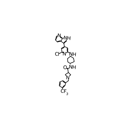 O=C(N[C@H]1CC[C@H](Nc2cc(-c3c[nH]c4ncccc34)cc(Cl)n2)CC1)C1CN(Cc2cccc(C(F)(F)F)c2)C1